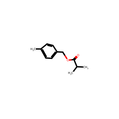 Cc1ccc(COC(=O)C(C)C)cc1